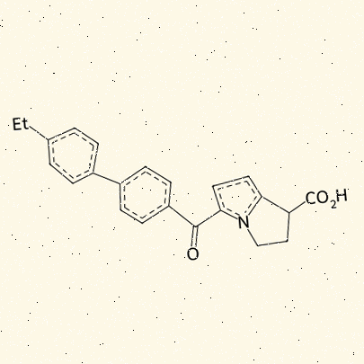 CCc1ccc(-c2ccc(C(=O)c3ccc4n3CCC4C(=O)O)cc2)cc1